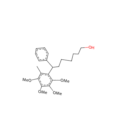 COc1c(C)c(C(CCCCCCO)c2ccccc2)c(OC)c(OC)c1OC